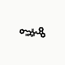 O=C(NC(CCCc1ccccc1)C(=O)O)OCC1c2ccccc2-c2ccccc21